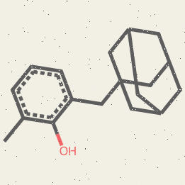 Cc1cccc(CC23CC4CC(CC(C4)C2)C3)c1O